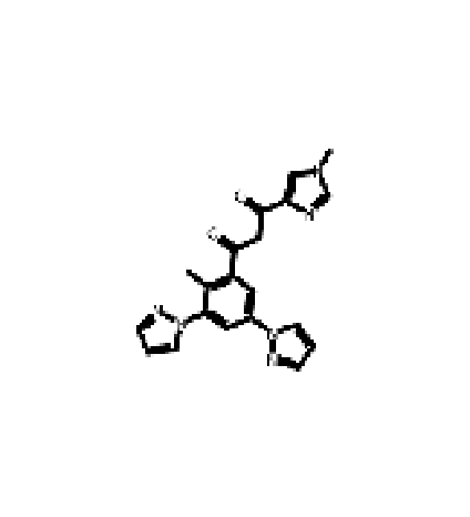 Cc1c(C(=O)CC(=O)c2cn(C)cn2)cc(-n2cccn2)cc1-n1cccn1